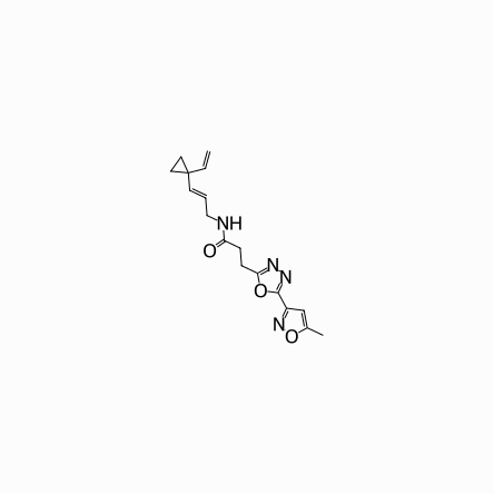 C=CC1(/C=C/CNC(=O)CCc2nnc(-c3cc(C)on3)o2)CC1